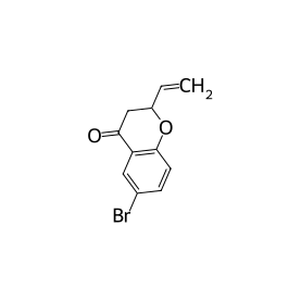 C=CC1CC(=O)c2cc(Br)ccc2O1